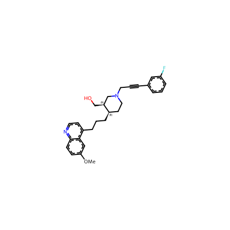 COc1ccc2nccc(CCC[C@@H]3CCN(CC#Cc4cccc(F)c4)C[C@@H]3CO)c2c1